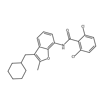 Cc1oc2c(NC(=O)c3c(Cl)cccc3Cl)cccc2c1CC1CCCCC1